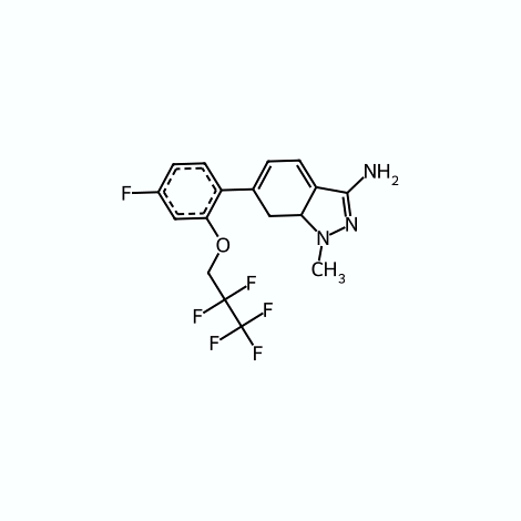 CN1N=C(N)C2=CC=C(c3ccc(F)cc3OCC(F)(F)C(F)(F)F)CC21